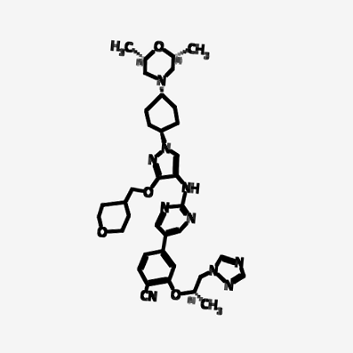 C[C@@H]1CN([C@H]2CC[C@H](n3cc(Nc4ncc(-c5ccc(C#N)c(O[C@@H](C)Cn6cncn6)c5)cn4)c(OCC4CCOCC4)n3)CC2)C[C@H](C)O1